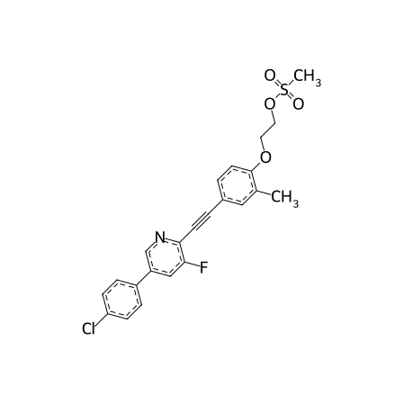 Cc1cc(C#Cc2ncc(-c3ccc(Cl)cc3)cc2F)ccc1OCCOS(C)(=O)=O